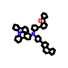 c1cc(-c2cccc3c2oc2ccccc23)cc(N(c2ccc(-c3ccc4c(ccc5ccccc54)c3)cc2)c2ccc(-c3ccccc3-n3c4ccccc4c4ccccc43)cc2)c1